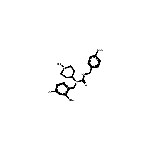 COc1cc(C(F)(F)F)ccc1CN(C(=O)NCc1ccc(OCC(C)C)cc1)C1CCN(C)CC1